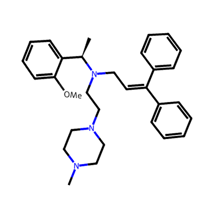 COc1ccccc1[C@@H](C)N(CC=C(c1ccccc1)c1ccccc1)CCN1CCN(C)CC1